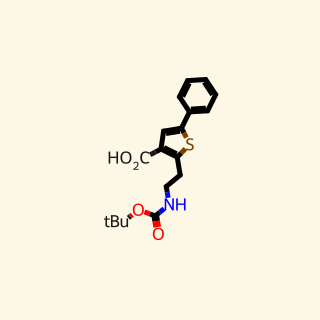 CC(C)(C)OC(=O)NCCc1sc(-c2ccccc2)cc1C(=O)O